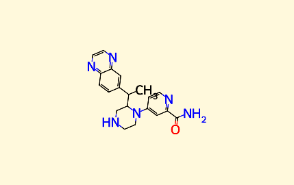 CC(c1ccc2nccnc2c1)C1CNCCN1c1ccnc(C(N)=O)c1